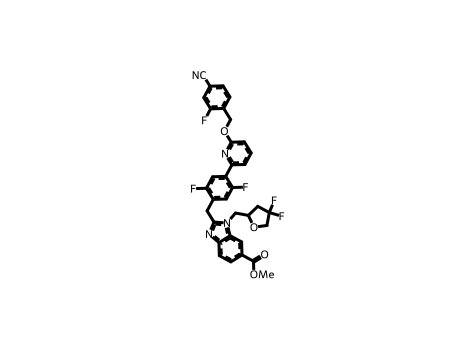 COC(=O)c1ccc2nc(Cc3cc(F)c(-c4cccc(OCc5ccc(C#N)cc5F)n4)cc3F)n(CC3CC(F)(F)CO3)c2c1